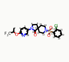 CC(Oc1ccc(N2CCC3(CCN(S(=O)(=O)c4ccccc4Cl)CC3)C2=O)cn1)C(F)(F)F